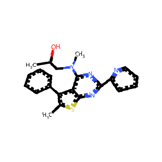 Cc1sc2nc(-c3ccccn3)nc(N(C)CC(C)O)c2c1-c1ccccc1